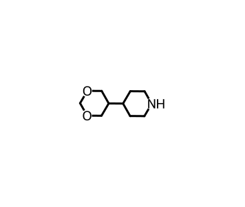 C1CC(C2COCOC2)CCN1